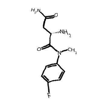 CN(C(=O)[C@@H](N)CC(N)=O)c1ccc(F)cc1